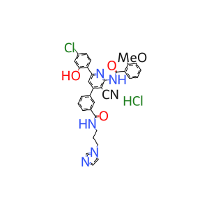 COc1ccccc1C(=O)Nc1nc(-c2ccc(Cl)cc2O)cc(-c2cccc(C(=O)NCCCn3ccnc3)c2)c1C#N.Cl